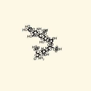 CO[C@H]1OC(COS(=O)(=O)O)[C@@H](O[C@H]2C[C@H](O)[C@@H](O[C@@H]3OC(COS(=O)(=O)O)[C@@H](O[C@H]4C[C@H](O)C(O[C@@H]5OC(COS(=O)(=O)O)[C@@H](O[C@H]6C[C@H](O)[C@@H](O[C@@H]7OC(CO)[C@@H](O[C@H]8C[C@H](O)[C@H](O)CO8)[C@H](O)C7N)CO6)[C@H](O)C5N)CO4)[C@H](O)C3N)CO2)[C@H](O)C1N